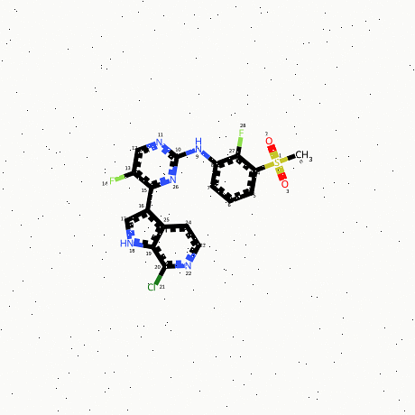 CS(=O)(=O)c1cccc(Nc2ncc(F)c(-c3c[nH]c4c(Cl)nccc34)n2)c1F